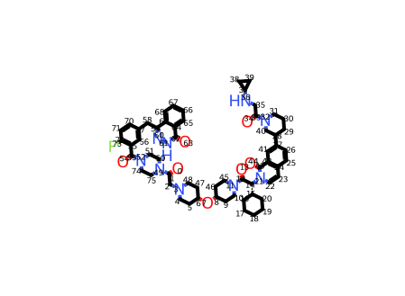 O=C(CN1CCC(OC2CCN(C(=O)[C@@H](C3CCCCC3)n3ccc4ccc(C5CCCN(C(=O)CNC6CC6)C5)cc4c3=O)CC2)CC1)N1CCN(C(=O)c2cc(Cc3n[nH]c(=O)c4ccccc34)ccc2F)CC1